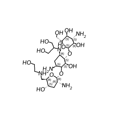 N[C@@H]1[C@@H](O)[C@@H](O[C@H]2[C@H](NC(CO)CO)C[C@H](N)C(O[C@H]3O[C@H](CNCCO)[C@@H](O)C[C@H]3N)[C@@H]2O)O[C@H](CO)[C@H]1O